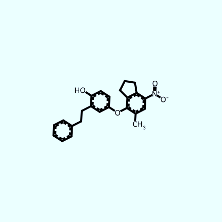 Cc1cc([N+](=O)[O-])c2c(c1Oc1ccc(O)c(CCc3ccccc3)c1)CCC2